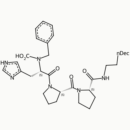 CCCCCCCCCCCCNC(=O)[C@@H]1CCCN1C(=O)[C@@H]1CCCN1C(=O)[C@H](Cc1c[nH]cn1)N(Cc1ccccc1)C(=O)O